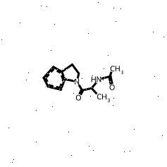 CC(=O)NC(C)C(=O)N1CCc2cc[c]cc21